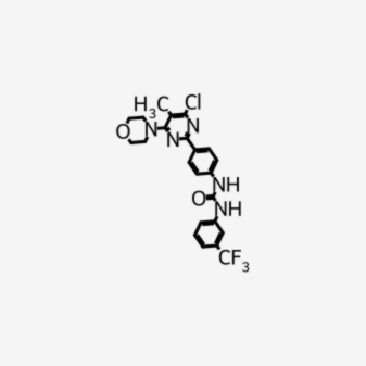 Cc1c(Cl)nc(-c2ccc(NC(=O)Nc3cccc(C(F)(F)F)c3)cc2)nc1N1CCOCC1